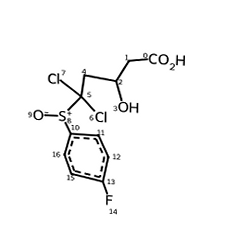 O=C(O)CC(O)CC(Cl)(Cl)[S+]([O-])c1ccc(F)cc1